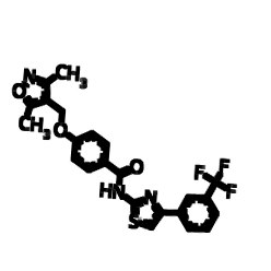 Cc1noc(C)c1COc1ccc(C(=O)Nc2nc(-c3cccc(C(F)(F)F)c3)cs2)cc1